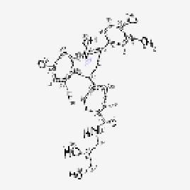 Cn1cc(/C(CC(c2ccc(C(=O)NC[C@@H](O)CO)cc2)c2ccc(Cl)cc2F)=N\O)ccc1=O